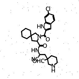 N#CC(CC1(C=O)CCCNC1)NC(=O)C1CC2(CCCCC2)CN1C(=O)c1cc2ccc(Cl)cc2[nH]1